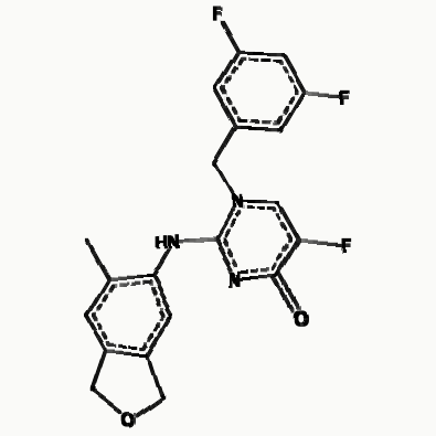 Cc1cc2c(cc1Nc1nc(=O)c(F)cn1Cc1cc(F)cc(F)c1)COC2